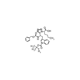 CCCCC(C(=O)O)n1nnnc1C(Cc1cn(C(=O)OC(C)(C)C)c2ccccc12)NC(=O)OCc1ccccc1